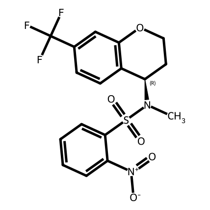 CN([C@@H]1CCOc2cc(C(F)(F)F)ccc21)S(=O)(=O)c1ccccc1[N+](=O)[O-]